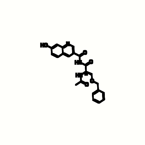 CC(=O)N[C@H](COCc1ccccc1)C(=O)NC(=O)c1cnc2cc(O)ccc2c1